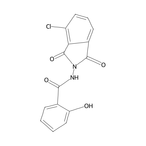 O=C(NN1C(=O)c2cccc(Cl)c2C1=O)c1ccccc1O